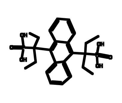 CCC(CC)(c1c2ccccc2c(C(CC)(CC)P(=O)(O)O)c2ccccc12)P(=O)(O)O